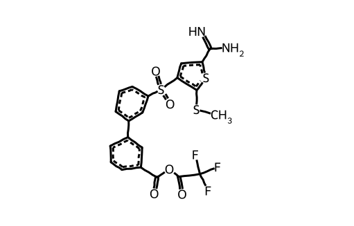 CSc1sc(C(=N)N)cc1S(=O)(=O)c1cccc(-c2cccc(C(=O)OC(=O)C(F)(F)F)c2)c1